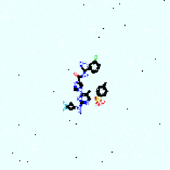 Cc1ccc(S(=O)(=O)O)cc1.Cc1cnc(NC2CC(F)(F)C2)nc1-n1cnc(C(=O)NC(CN)c2cccc(Cl)c2)c1